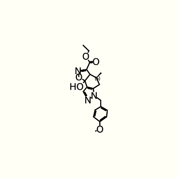 CCOC(=O)C1=NOC2(O)c3cnn(Cc4ccc(OC)cc4)c3C[C@H](C)C12